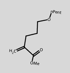 C=C(CCCOCCCCC)C(=O)OC